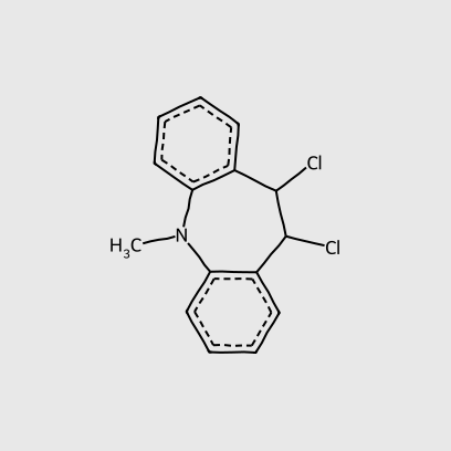 CN1c2ccccc2C(Cl)C(Cl)c2ccccc21